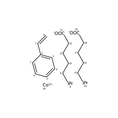 C=Cc1ccccc1.CC(C)CCCCC(=O)[O-].CC(C)CCCCC(=O)[O-].[Co+2]